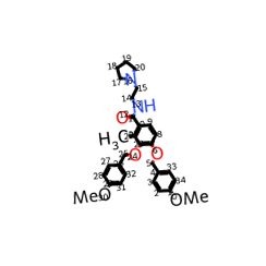 COc1ccc(COc2ccc(C(=O)NCCN3CCCC3)c(C)c2OCc2ccc(OC)cc2)cc1